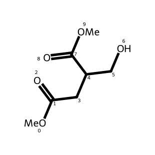 COC(=O)CC(CO)C(=O)OC